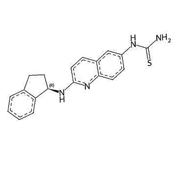 NC(=S)Nc1ccc2nc(N[C@@H]3CCc4ccccc43)ccc2c1